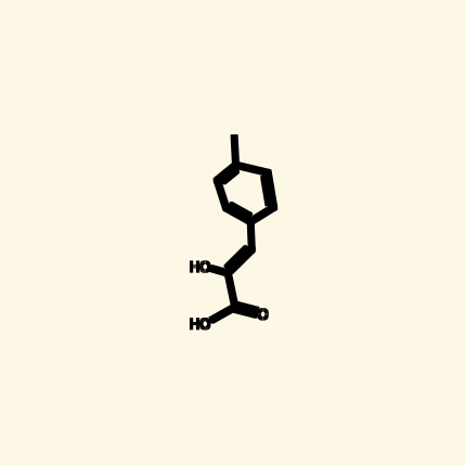 Cc1ccc(C=C(O)C(=O)O)cc1